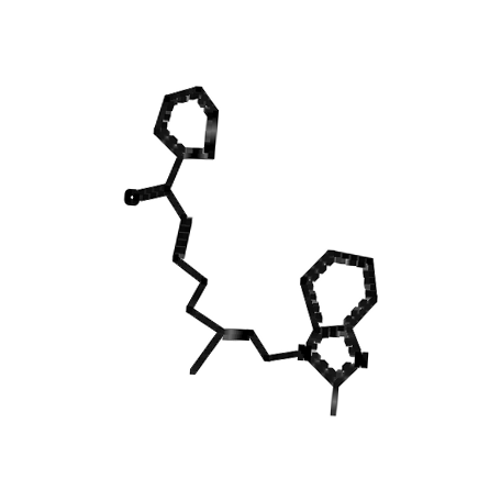 C/C(=C\Cn1c(C)nc2ccccc21)CCC=CC(=O)c1ccccc1